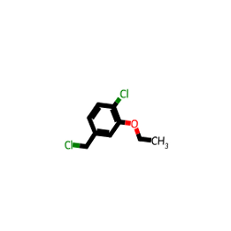 CCOc1cc(CCl)ccc1Cl